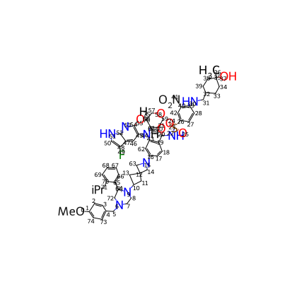 COc1ccc(CN2CCN(C3CC4(C3)CN(c3ccc(C(=O)NS(=O)(=O)c5ccc(NCC6CCC(C)(O)CC6)c([N+](=O)[O-])c5)c(N5c6cc7c(F)c[nH]c7nc6O[C@H]6COCC[C@@H]65)c3)C4)[C@H](c3ccccc3C(C)C)C2)cc1